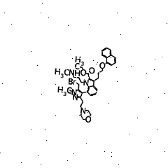 CCOC(=O)c1c(CCCOc2cccc3ccccc23)c2cccc(-c3c(CCN4CCOCC4)nn(C)c3CBr)c2n1CCCNC